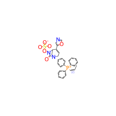 C/C=C\[P+](c1ccccc1)(c1ccccc1)c1ccccc1.O=C1N2CC=C(c3cnco3)C(C2)N1OS(=O)(=O)[O-]